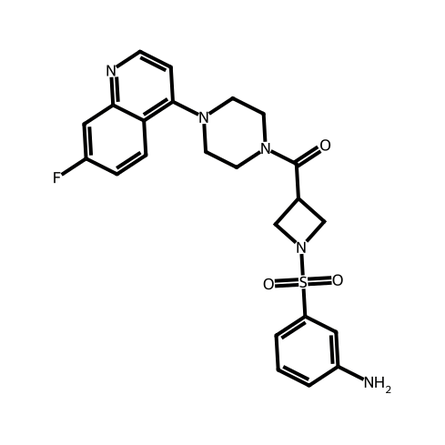 Nc1cccc(S(=O)(=O)N2CC(C(=O)N3CCN(c4ccnc5cc(F)ccc45)CC3)C2)c1